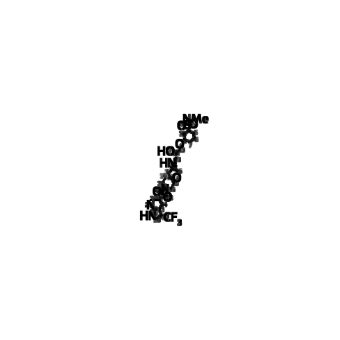 CNS(=O)(=O)c1cccc(OC[C@@H](O)CN[C@H]2COC3(CCN(S(=O)(=O)c4cnc5[nH]cc(C(F)(F)F)c5c4)CC3)C2)c1